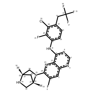 Fc1cc2ncnc(Nc3ccc(CC(F)(F)F)c(Cl)c3F)c2nc1N1C[C@@H]2C[C@H]1CN2